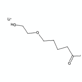 O=C([O-])CCCCOCCO.[Li+]